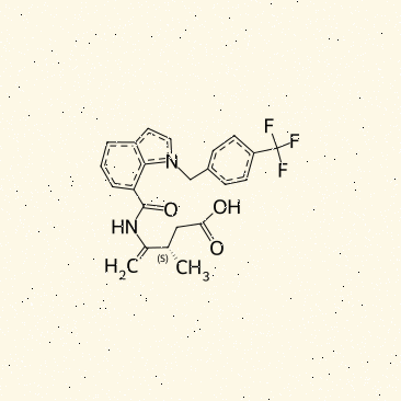 C=C(NC(=O)c1cccc2ccn(Cc3ccc(C(F)(F)F)cc3)c12)[C@@H](C)CC(=O)O